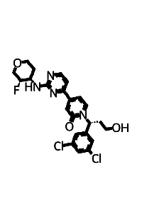 O=c1cc(-c2ccnc(N[C@@H]3CCOC[C@H]3F)n2)ccn1[C@H](CCO)c1cc(Cl)cc(Cl)c1